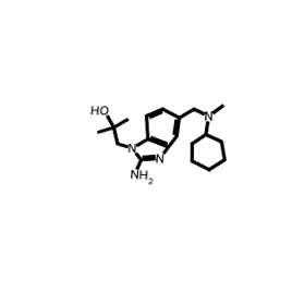 CN(Cc1ccc2c(c1)nc(N)n2CC(C)(C)O)C1CCCCC1